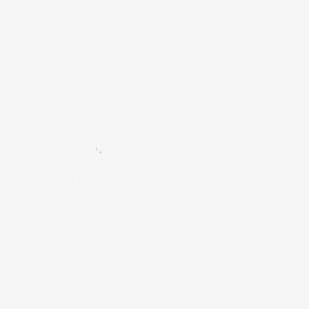 COCC(OC)c1ccc2oc3cc(C(=O)O)c(N(C(=O)C4CCCCC4)C(C)C)cc3c2c1